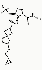 CNC(=O)c1csc2c(C(F)(F)F)cc(N3CC4(CC(OCC5CC5)CO4)C3)nc12